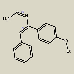 CCOc1ccc(C(=C\c2ccccc2)/N=C\N)cc1